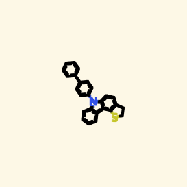 c1ccc(-c2ccc(-n3c4ccccc4c4c5c(ccc43)CCS5)cc2)cc1